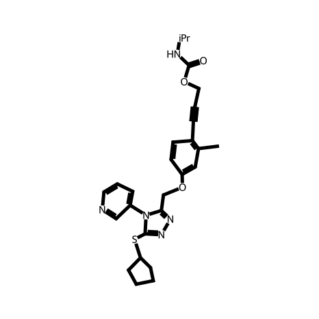 Cc1cc(OCc2nnc(SC3CCCC3)n2-c2cccnc2)ccc1C#CCOC(=O)NC(C)C